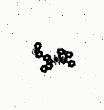 c1ccc(-c2nc(-n3c4ccc(-c5ccc6oc7ccccc7c6c5)cc4c4c5ccccc5ccc43)nc3cc(-c4ccccc4)n(-c4ccccc4)c23)cc1